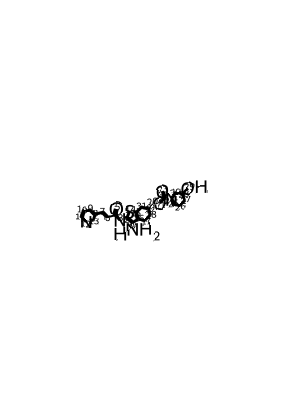 Nc1c(NC(=O)/C=C/c2cccnc2)sc2c1CC[C@@H](COC(=O)N1CCCC(O)C1)C2